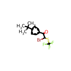 CC(C)(C)c1ccc(C(=O)C(Br)SC(F)(F)F)cc1